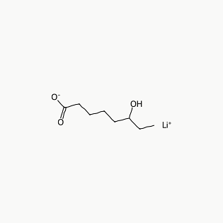 CCC(O)CCCCC(=O)[O-].[Li+]